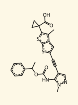 Cc1c(C2(C(=O)O)CC2)sc2sc(C#Cc3cnn(C)c3NC(=O)OC(C)c3ccccc3)cc12